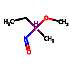 CC[PH](C)(N=O)OC